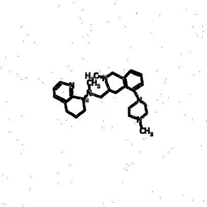 CN1CCN(c2cccc3c2CC(CN(C)[C@H]2CCCc4cccnc42)N(C)C3)CC1